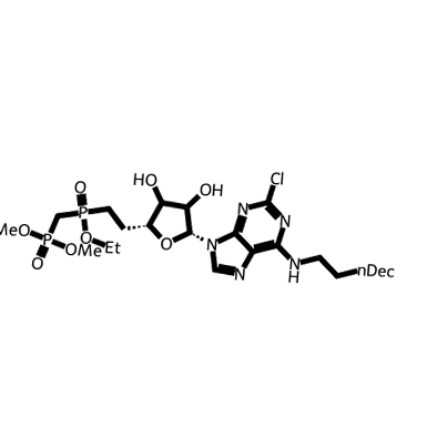 CCCCCCCCCCCCNc1nc(Cl)nc2c1ncn2[C@@H]1O[C@H](CCP(=O)(CP(=O)(OC)OC)OCC)C(O)C1O